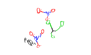 ClC(Cl)Cl.O=[N+]([O-])[O-].O=[N+]([O-])[O-].[Pd+2]